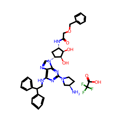 N[C@@H]1CCN(c2nc(NCC(c3ccccc3)c3ccccc3)c3ncn([C@@H]4C[C@H](NC(=O)COCc5ccccc5)[C@@H](O)[C@H]4O)c3n2)C1.O=C(O)C(F)(F)F